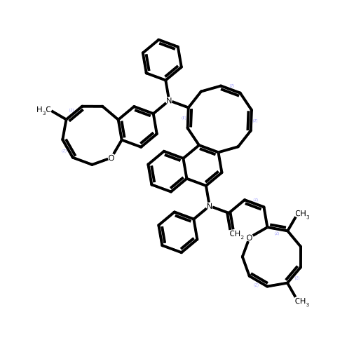 C=C(/C=C\C1=C(/C)C/C=C(C)\C=C/CO1)N(c1ccccc1)c1cc2c(c3ccccc13)/C=C(/N(c1ccccc1)c1ccc3c(c1)C/C=C(C)\C=C/CO3)C/C=C\C=C/C2